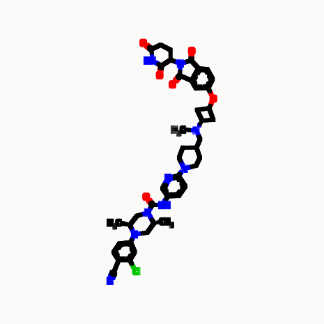 C[C@@H]1CN(c2ccc(C#N)c(Cl)c2)[C@@H](C)CN1C(=O)Nc1ccc(N2CCC(CN(C)[C@H]3C[C@H](Oc4ccc5c(c4)C(=O)N(C4CCC(=O)NC4=O)C5=O)C3)CC2)nc1